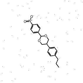 CCCc1ccc(C2COC(c3ccc([N+](=O)[O-])cc3)OC2)cc1